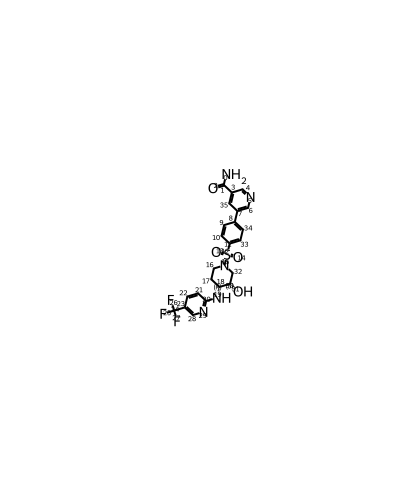 NC(=O)c1cncc(-c2ccc(S(=O)(=O)N3CC[C@@H](Nc4ccc(C(F)(F)F)cn4)[C@@H](O)C3)cc2)c1